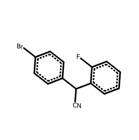 N#CC(c1ccc(Br)cc1)c1ccccc1F